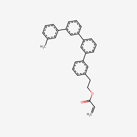 C=CC(=O)OCCc1cccc(-c2cccc(-c3cccc(-c4cccc(C)c4)c3)c2)c1